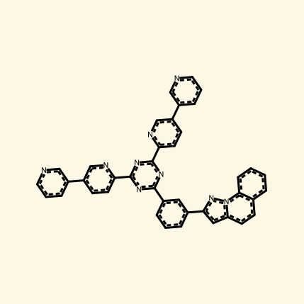 c1cncc(-c2ccc(-c3nc(-c4cccc(-c5cc6ccc7ccccc7n6n5)c4)nc(-c4ccc(-c5cccnc5)cn4)n3)nc2)c1